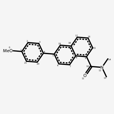 COc1ccc(-c2ccc3c(C(=O)N(C)C)cccc3c2)cc1